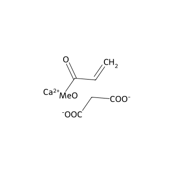 C=CC(=O)OC.O=C([O-])CC(=O)[O-].[Ca+2]